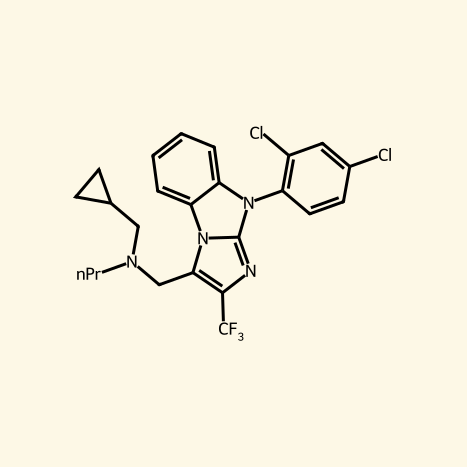 CCCN(Cc1c(C(F)(F)F)nc2n(-c3ccc(Cl)cc3Cl)c3ccccc3n12)CC1CC1